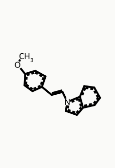 COc1ccc(C=Cn2ccc3ccccc32)cc1